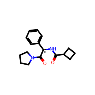 O=C(N[C@@H](C(=O)N1CCCC1)c1ccccc1)C1CCC1